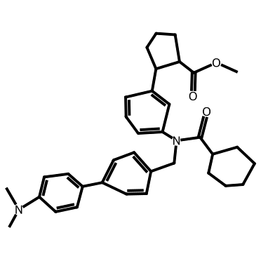 COC(=O)C1CCCC1c1cccc(N(Cc2ccc(-c3ccc(N(C)C)cc3)cc2)C(=O)C2CCCCC2)c1